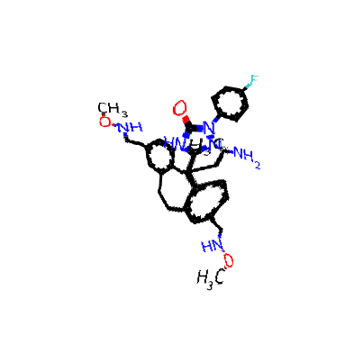 CONCc1ccc2c(c1)CCc1cc(CNOC)ccc1C2(C[C@@H](C)N)c1nn(-c2ccc(F)cc2)c(=O)[nH]1